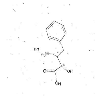 Cl.NC(Cc1ccccc1)[C@H](O)C(=O)O